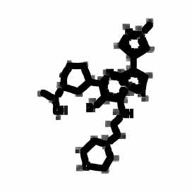 CB(O)N1CCCC(c2nc3c(-c4cnn(C)c4)cnn3c(NCCN3CCOCC3)c2Br)C1